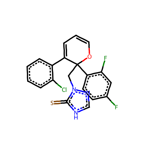 Fc1ccc(C2(Cn3nc[nH]c3=S)OC=CC=C2c2ccccc2Cl)c(F)c1